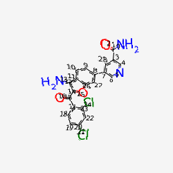 NC(=O)c1cncc(-c2ccc3c(N)c(C(=O)c4ccc(Cl)cc4Cl)oc3c2)c1